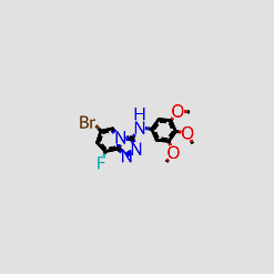 COc1cc(Nc2nnc3c(F)cc(Br)cn23)cc(OC)c1OC